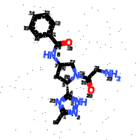 Cc1n[nH]c([C@@H]2C[C@@H](NC(=O)c3ccccc3)CN2C(=O)CN)n1